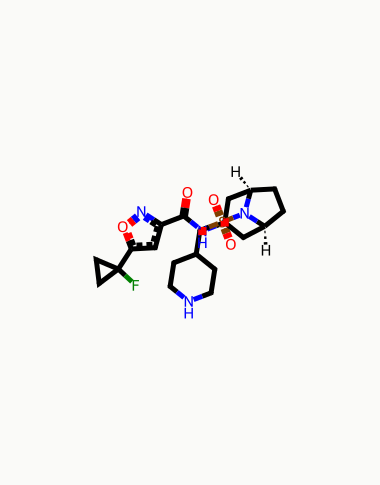 O=C(NC1C[C@H]2CC[C@@H](C1)N2S(=O)(=O)CC1CCNCC1)c1cc(C2(F)CC2)on1